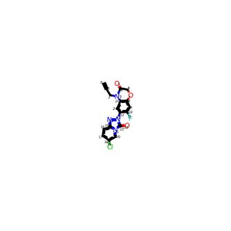 C#CCN1C(=O)COc2cc(F)c(-n3nc4ccc(Cl)cn4c3=O)cc21